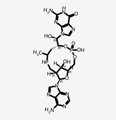 CC1C[C@H]([C@@H](O)n2cnc3c(=O)[nH]c(N)nc32)OP(=O)(O)OC[C@H]2O[C@@H](n3cnc4c(N)ncnc43)[C@H](CP1)[C@@H]2O